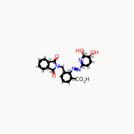 O=C(O)c1cccc(CN2C(=O)c3ccccc3C2=O)c1N=Nc1ccc(O)c(O)n1